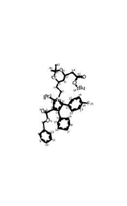 CC(C)c1c(C(=O)OCc2ccccc2)c(-c2ccccc2)c(-c2ccc(F)cc2)n1CCC1CC(CC(=O)OC(C)(C)C)OC(C)(C)O1